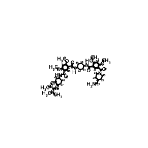 COc1cc(OC)c(C(=O)N[C@H]2CC[C@@H](NC(=O)c3cc(C(=O)N4CCC(CN)CC4)c(OC)cc3OC)CC2)cc1C(=O)N[C@H]1CC[C@@H](N=C(N(C)C)N(C)C)CC1